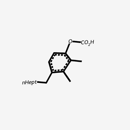 CCCCCCCCc1ccc(OC(=O)O)c(C)c1C